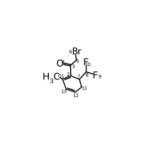 CC1=C(C(=O)CBr)C(C(F)F)CC=C1